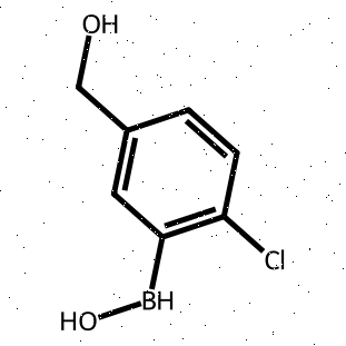 OBc1cc(CO)ccc1Cl